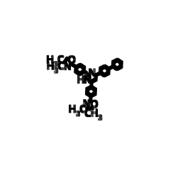 CC1(C)COC(c2ccc(C3=CC(c4ccc(-c5ccccc5)cc4)=NN(c4ccc(C5=NC(C)(C)CO5)cc4)N3)cc2)=N1